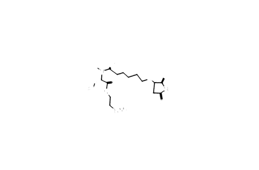 CNCCNC(=O)[C@H](CC(C)=O)N(C)C(=O)CCCCCSC1CC(=O)NC1=O